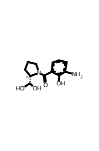 Nc1cccc(C(=O)N2CCC[C@H]2C(O)O)c1O